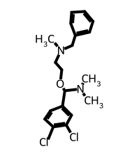 CN(CCOC(c1ccc(Cl)c(Cl)c1)N(C)C)Cc1ccccc1